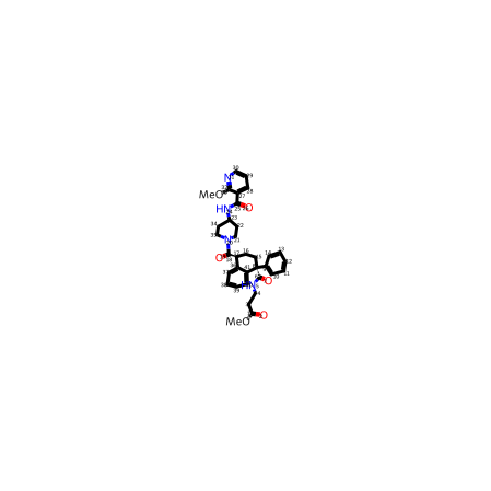 COC(=O)CCNC(=O)[C@@]1(c2ccccc2)CC[C@H](C(=O)N2CCC(NC(=O)c3cccnc3OC)CC2)c2ccccc21